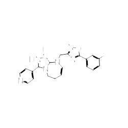 Clc1cccc(-c2nc(CN3C=CCCN4C(c5ccncc5)NNC34)no2)c1